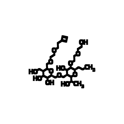 CCC[C@H]1OC(C(C)O)[C@@H](COC[C@@H]2OC(COCCOCCC3=CC=C3)[C@H](CO)C(O)C2O)C(O)C1OCCOCCO